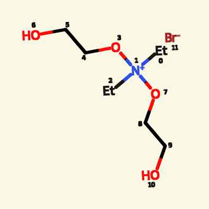 CC[N+](CC)(OCCO)OCCO.[Br-]